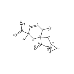 CC1(C(=O)O)C=CC(Br)C(CC2CC2)(C(=O)O)C1